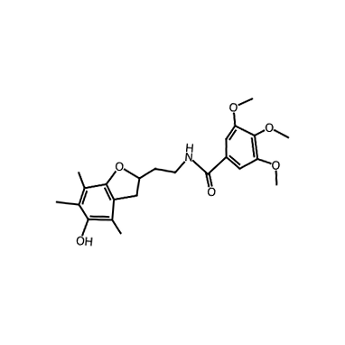 COc1cc(C(=O)NCCC2Cc3c(C)c(O)c(C)c(C)c3O2)cc(OC)c1OC